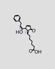 O=C(O)CCCCC/C=C1\C(=O)C=CC1/C(O)=C\Cc1ccccc1